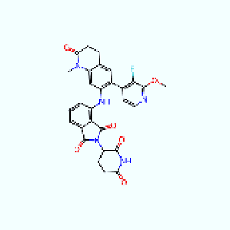 COc1nccc(-c2cc3c(cc2Nc2cccc4c2C(=O)N(C2CCC(=O)NC2=O)C4=O)N(C)C(=O)CC3)c1F